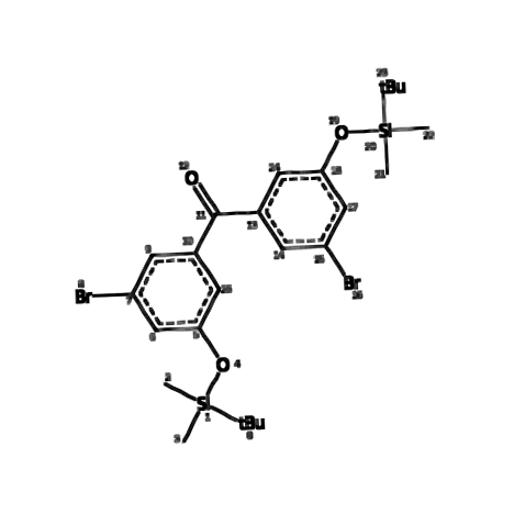 CC(C)(C)[Si](C)(C)Oc1cc(Br)cc(C(=O)c2cc(Br)cc(O[Si](C)(C)C(C)(C)C)c2)c1